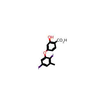 Cc1cc(I)cc(Oc2ccc(C(=O)O)c(O)c2)c1I